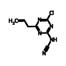 C=CCc1nc(Cl)nc(NC#N)n1